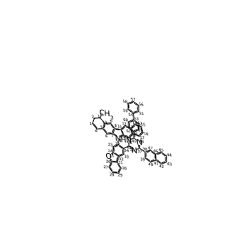 CC1CC=Cc2cc3c(cc21)c1cc2ccccc2cc1n3-c1cc2oc3ccccc3c2cc1C1=NC(c2ccc3ccccc3c2)=NC(c2ccc(-c3ccccc3)cc2)N1